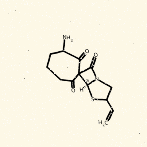 C=CC1CN2C(=O)C3(C(=O)CCCC(N)C3=O)[C@@H]2S1